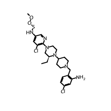 CC[C@H]1CN(c2ncc(NSOOC)cc2Cl)CCN1C1CCN(Cc2ccc(Cl)cc2N)CC1